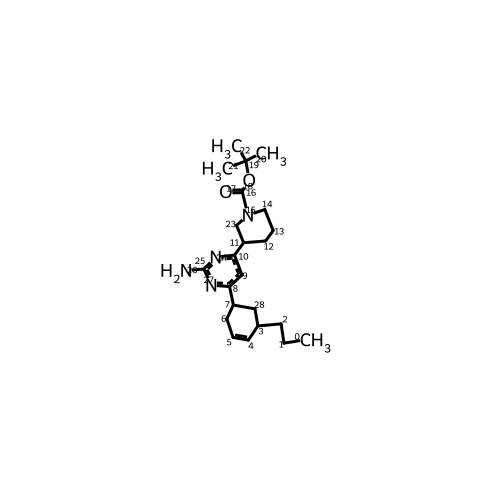 CCCC1C=CCC(c2cc(C3CCCN(C(=O)OC(C)(C)C)C3)nc(N)n2)C1